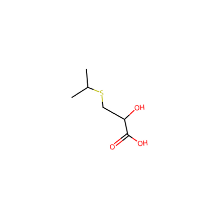 CC(C)SCC(O)C(=O)O